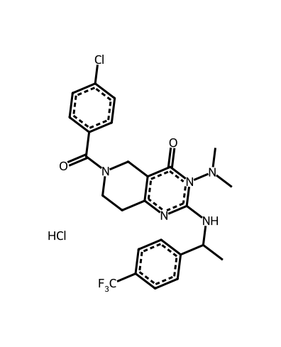 CC(Nc1nc2c(c(=O)n1N(C)C)CN(C(=O)c1ccc(Cl)cc1)CC2)c1ccc(C(F)(F)F)cc1.Cl